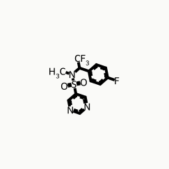 CN(C(c1ccc(F)cc1)C(F)(F)F)S(=O)(=O)c1cncnc1